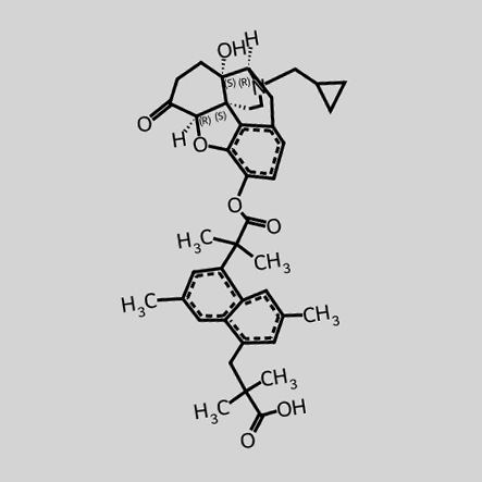 Cc1cc(C(C)(C)C(=O)Oc2ccc3c4c2O[C@H]2C(=O)CC[C@@]5(O)[C@@H](C3)N(CC3CC3)CC[C@]425)c2cc(C)cc(CC(C)(C)C(=O)O)c2c1